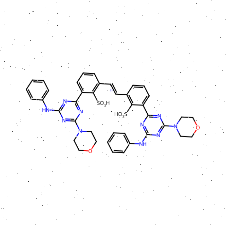 O=S(=O)(O)c1c(/C=C/c2cccc(-c3nc(Nc4ccccc4)nc(N4CCOCC4)n3)c2S(=O)(=O)O)cccc1-c1nc(Nc2ccccc2)nc(N2CCOCC2)n1